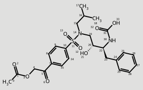 CC(=O)OCC(=O)c1ccc(S(=O)(=O)N(CC(C)C)C[C@@H](O)[C@H](Cc2ccccc2)NC(=O)O)cc1